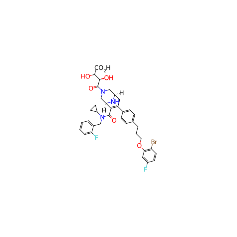 O=C(O)C(O)[C@@H](O)C(=O)N1C[C@H]2CC(c3ccc(CCCOc4cc(F)ccc4Br)cc3)=C(C(=O)N(Cc3ccccc3F)C3CC3)[C@@H](C1)N2